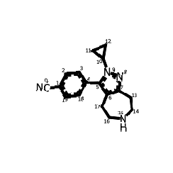 N#Cc1ccc(-c2c3c(nn2C2CC2)CCNCC3)cc1